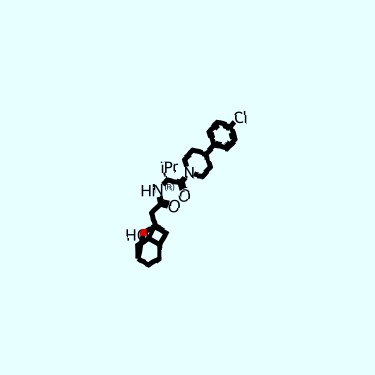 CC(C)[C@@H](NC(=O)CC12CC3CCC(C1)C2(O)C3)C(=O)N1CCC(c2ccc(Cl)cc2)CC1